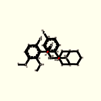 COc1ccc(Cl)c(C(=O)NC2CC3CCCC(C2)N3Cc2ccc(F)cc2)c1OC